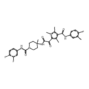 Cc1cc(NC(=O)c2c(C)c(C(=O)C(=O)NC3(C)CCN(C(=O)Nc4ccc(F)c(F)c4)CC3)n(C)c2C)ccc1F